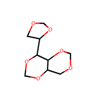 C1OCC(C2OCOC3COCOC32)O1